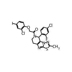 Cc1nn2c3c(nc2s1)CCN(C(=O)COc1ccc(I)cc1Cl)C3c1ccc(Cl)cc1F